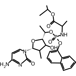 CC(C)OC(=O)C(C)NP(=O)(Oc1cccc2ccccc12)OC(C)[C@H]1O[C@@H](n2ccc(N)nc2=O)C(C)C1O